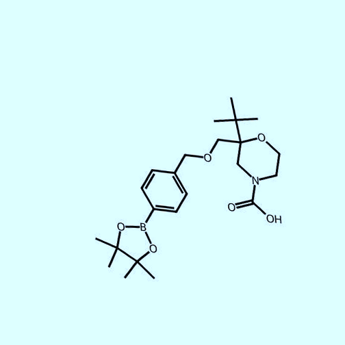 CC(C)(C)C1(COCc2ccc(B3OC(C)(C)C(C)(C)O3)cc2)CN(C(=O)O)CCO1